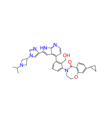 CC(C)N1CC(n2cnc(-c3cc4c(-c5cccc(N6CCOc7cc(C8CC8)ccc7C6=O)c5CO)ccnc4[nH]3)c2)C1